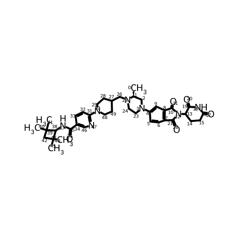 C[C@H]1CN(c2ccc3c(c2)C(=O)N(C2CCC(=O)NC2=O)C3=O)CCN1CC1CCN(c2ccc(C(=O)NC3C(C)(C)CC3(C)C)cn2)CC1